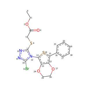 CCOC(=O)CSc1nnc(Br)n1-c1sc(-c2ccccc2)c2c1OCCO2